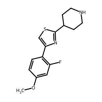 COc1ccc(-c2csc(C3CCNCC3)n2)c(F)c1